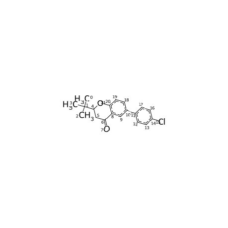 CC(C)(C)C1CC(=O)c2cc(-c3ccc(Cl)cc3)ccc2O1